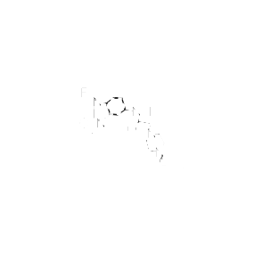 CCNc1ccc(NC(=O)CN2CCN(C)CC2)cc1[N+](=O)[O-]